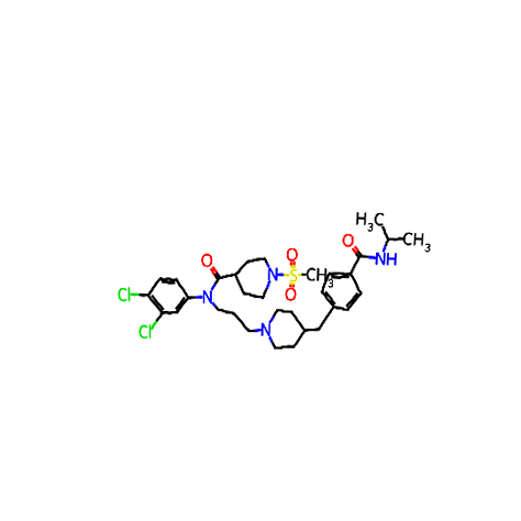 CC(C)NC(=O)c1ccc(CC2CCN(CCCN(C(=O)C3CCN(S(C)(=O)=O)CC3)c3ccc(Cl)c(Cl)c3)CC2)cc1